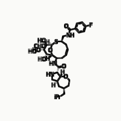 CC(C)C[C@@H]1CCO[C@@H]2[C@H](CN[C@@H]2C(=O)N[C@@H]2CC=CC[C@H](CNC(=O)c3ccc(F)cc3)S[C@H]3O[C@H]2[C@H](O)[C@H](O)[C@H]3O)C1.O=CO